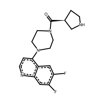 O=C([C@H]1CCNC1)N1CCN(c2ccnc3cc(F)c(F)cc23)CC1